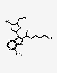 Nc1ncnc2c1nc(C(S)CCCCS)n2[C@H]1CC(O)[C@@H](CO)O1